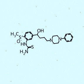 C[S+]([O-])c1ccc(C(O)CCCN2CCN(c3ccccc3)CC2)cc1NC(N)=S